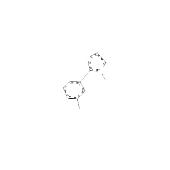 FC(F)(F)c1cccc(-c2nccn2I)c1